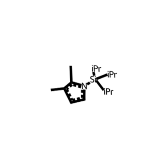 Cc1ccn([Si](C(C)C)(C(C)C)C(C)C)c1C